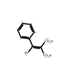 CC(C)C(=C(C(=O)O)C(=O)O)c1ccccc1